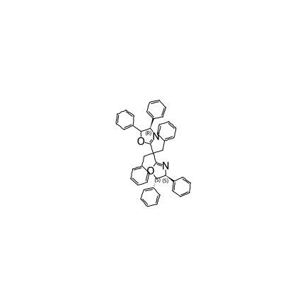 c1ccc(CC(Cc2ccccc2)(C2=N[C@H](c3ccccc3)C(c3ccccc3)O2)C2=N[C@@H](c3ccccc3)[C@H](c3ccccc3)O2)cc1